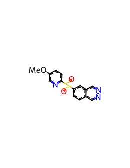 COc1ccc(S(=O)(=O)c2ccc3cnncc3c2)nc1